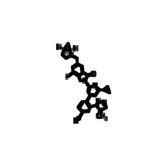 Cn1cnnc1-c1cc(C#N)ccc1-c1cc(C2CC2)nc(N2Cc3c(F)cc(CN4CC[C@H]5C[C@H]54)cc3C2=O)c1